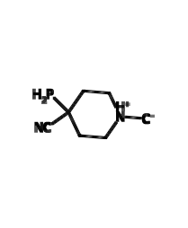 [CH2-][NH+]1CCC(P)(C#N)CC1